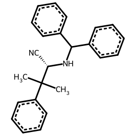 CC(C)(c1ccccc1)[C@H](C#N)NC(c1ccccc1)c1ccccc1